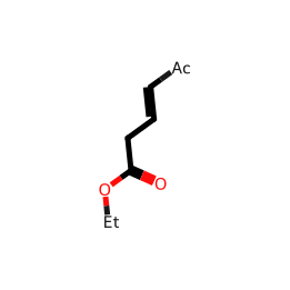 CCOC(=O)CC=CC(C)=O